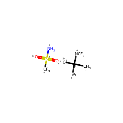 CC(C)C(C)(C)NC(F)(F)F.NS(=O)(=O)C(F)(F)F